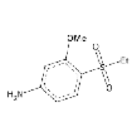 CCS(=O)(=O)c1ccc(N)cc1OC